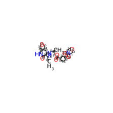 CCc1nn(C[C@@H](C)COC(=O)c2cccc(S(=O)(=O)N3CCOCC3)c2)c2c1C(=O)NCC1(CCOCC1)C2